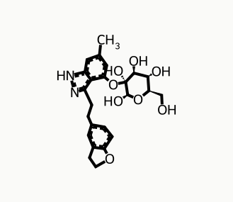 Cc1cc(O[C@]2(O)[C@H](O)O[C@H](CO)[C@@H](O)[C@@H]2O)c2c(CCc3ccc4c(c3)CCO4)n[nH]c2c1